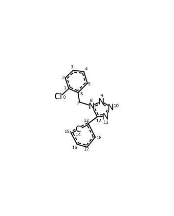 Clc1ccccc1Cn1nnnc1-c1ccccc1